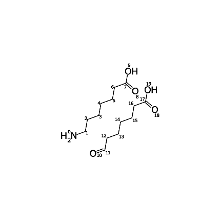 NCCCCCCC(=O)O.O=CCCCCCC(=O)O